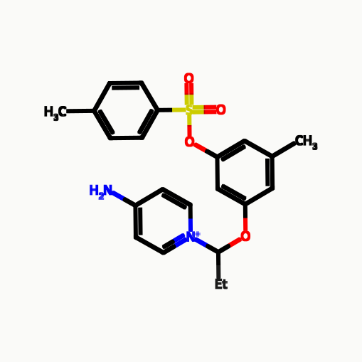 CCC(Oc1cc(C)cc(OS(=O)(=O)c2ccc(C)cc2)c1)[n+]1ccc(N)cc1